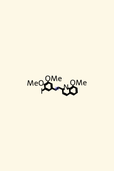 COc1cc(/C=C/c2ccc3cccc(OC)c3n2)cc(I)c1OC